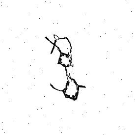 Cc1ccc(C)n1-c1cc2n(n1)CCOC2(C)C